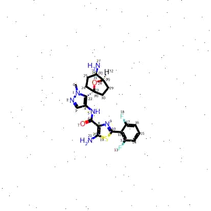 Cn1ncc(NC(=O)c2nc(-c3c(F)cccc3F)sc2N)c1[C@@]12CC[C@@H](N)[C@@H](CC1)O2